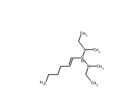 CCCCC=C[SiH](N(C)CC)N(C)CC